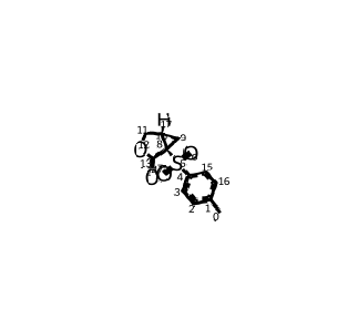 Cc1ccc(S(=O)(=O)[C@]23C[C@H]2COC3=O)cc1